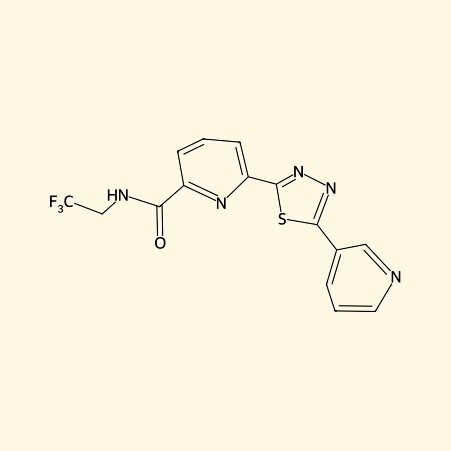 O=C(NCC(F)(F)F)c1cccc(-c2nnc(-c3cccnc3)s2)n1